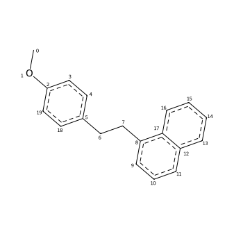 COc1ccc(CCc2cccc3ccccc23)cc1